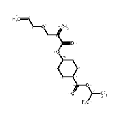 C=CCOCC(=C)C(=O)OC1CCC(C(=O)OC(C(F)(F)F)C(F)(F)F)CC1